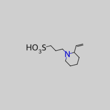 C=CC1CCCCN1CCCS(=O)(=O)O